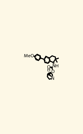 COc1ccc(-c2ccc3c(c2)CCC(C)(C)[C@H]3NC(=O)O[C@H]2CN3CCC2CC3)cc1